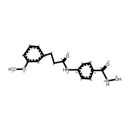 COc1cccc(CCC(=O)Nc2ccc(C(=O)NO)cc2)c1